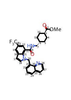 COC(=O)[C@H]1CC[C@H](CNC(=O)c2cc(C(F)(F)F)cc3ccn(Cc4cccc5cccnc45)c23)CC1